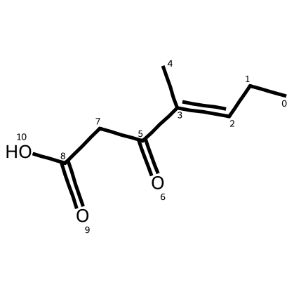 CC/C=C(\C)C(=O)CC(=O)O